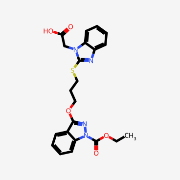 CCOC(=O)n1nc(OCCCSc2nc3ccccc3n2CC(=O)O)c2ccccc21